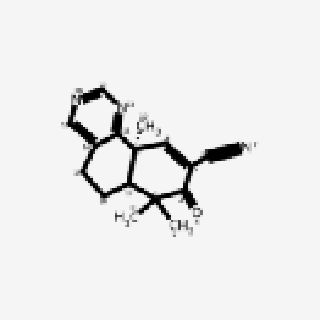 CC1(C)C(=O)C(C#N)=C[C@]2(C)c3ncncc3CCC12